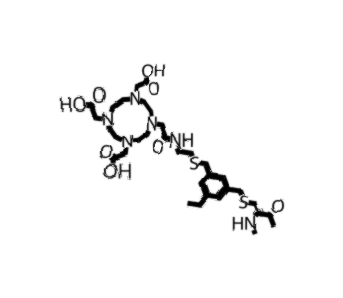 CCc1cc(CSCCNC(=O)CN2CCN(CC(=O)O)CCN(CC(=O)O)CCN(CC(=O)O)CC2)cc(CSC[C@H](NC)C(C)=O)c1